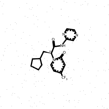 O=C(Nc1cnccn1)[C@H](CC1CCCC1)n1ccc(C(F)(F)F)cc1=O